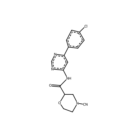 N#CN1CCOC(C(=O)Nc2cc(-c3ccc(Cl)cc3)ncn2)C1